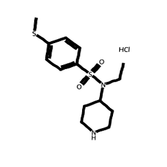 CCN(C1CCNCC1)S(=O)(=O)c1ccc(SC)cc1.Cl